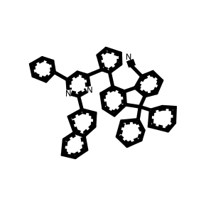 N#Cc1cccc2c1-c1c(-c3ccccc3-c3cc(-c4ccccc4)nc(-c4ccc5ccccc5c4)n3)cccc1C2(c1ccccc1)c1ccccc1